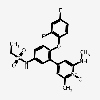 CCS(=O)(=O)Nc1ccc(Oc2ccc(F)cc2F)c(-c2cc(C)[n+]([O-])c(NC)c2)c1